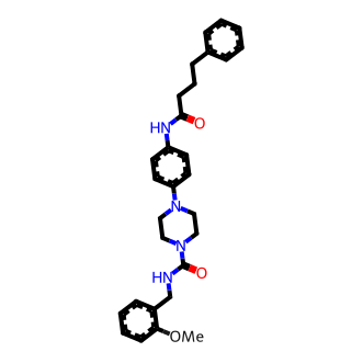 COc1ccccc1CNC(=O)N1CCN(c2ccc(NC(=O)CCCc3ccccc3)cc2)CC1